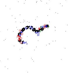 CCC(C)(N)OCCC(C)(CC)OC(=O)OCN1C(=O)CCC(N2Cc3cc(N4CCC(CN5CCN(c6ccc(-c7cnc8[nH]cc(C(=O)c9c(F)ccc(NS(=O)(=O)N%10CC[C@@H](F)C%10)c9F)c8c7)cc6)CC5)CC4)ccc3C2=O)C1=O